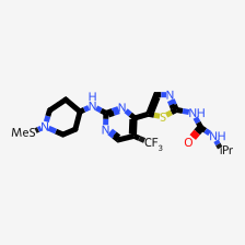 CSN1CCC(Nc2ncc(C(F)(F)F)c(-c3cnc(NC(=O)NC(C)C)s3)n2)CC1